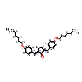 CCCCCCOc1ccc(/C=C2\CC/C(=C\c3ccc(OCCCCCC)cc3)C2=O)cc1